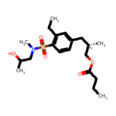 CCCC(=O)OC[C@@H](C)Cc1ccc(S(=O)(=O)N(C)CC(C)O)c(CC)c1